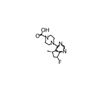 C[C@@H]1C[C@H](F)c2ncnc(N3CCN(C(=O)O)CC3)c21